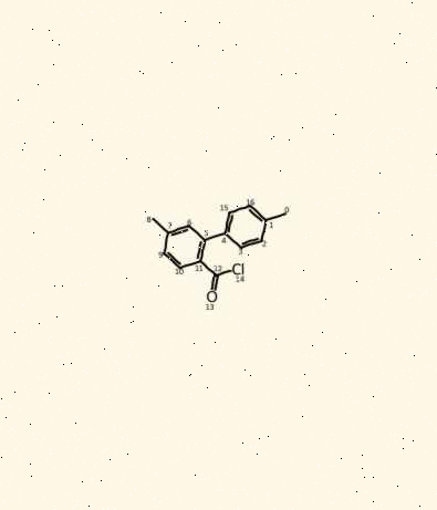 Cc1ccc(-c2cc(C)ccc2C(=O)Cl)cc1